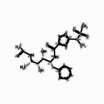 CC(=O)N[C@@H](C)[C@@H](O)[C@H](O)[C@@H](Cc1ccccc1)NC(=O)c1coc(N(C)S(C)(=O)=O)n1